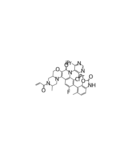 C=CC(=O)N1CC2COc3c(c4cc(F)c(-c5c(C)ccc6[nH]c(=O)oc56)c(Cl)c4n(-c4c(C(C)C)ncnc4C(C)C)c3=O)N2CC1C